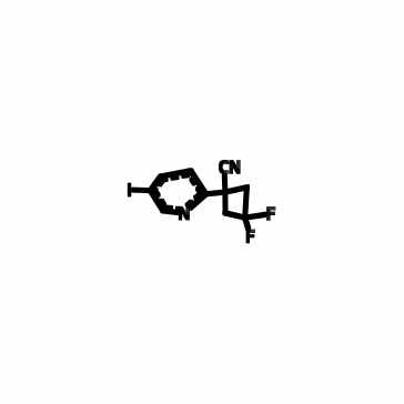 N#CC1(c2ccc(I)cn2)CC(F)(F)C1